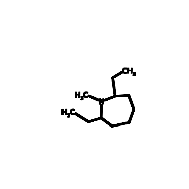 CCC1CCCCC(CC)N1C